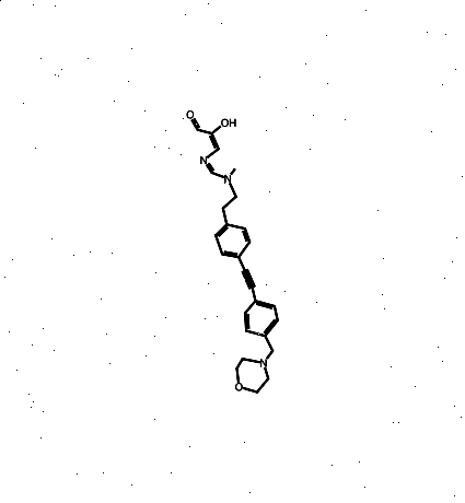 CN(/C=N\C=C(\O)C=O)CCc1ccc(C#Cc2ccc(CN3CCOCC3)cc2)cc1